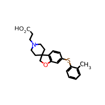 Cc1ccccc1Sc1ccc2c(c1)OCC21CCN(CCC(=O)O)CC1